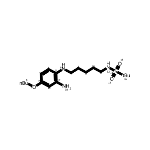 CCCCOc1ccc(NCCCCCNS(=O)(=O)C(C)(C)C)c(N)c1